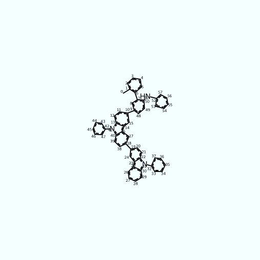 Cc1ccccc1-c1cc(-c2ccc3c(c2)c2cc(-c4ccc5c(c4)c4ccccc4n5-c4ccccc4)ccc2n3-c2ccccc2)ccc1Nc1ccccc1